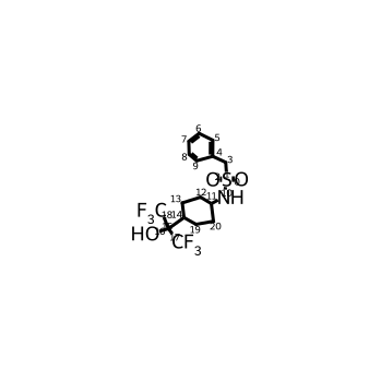 O=S(=O)(Cc1ccccc1)NC1CCC(C(O)(C(F)(F)F)C(F)(F)F)CC1